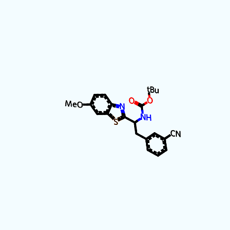 COc1ccc2nc(C(Cc3cccc(C#N)c3)NC(=O)OC(C)(C)C)sc2c1